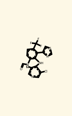 O=CNc1ccc(C(F)(F)F)c(-c2cscn2)c1Nc1c(Cl)cncc1Cl